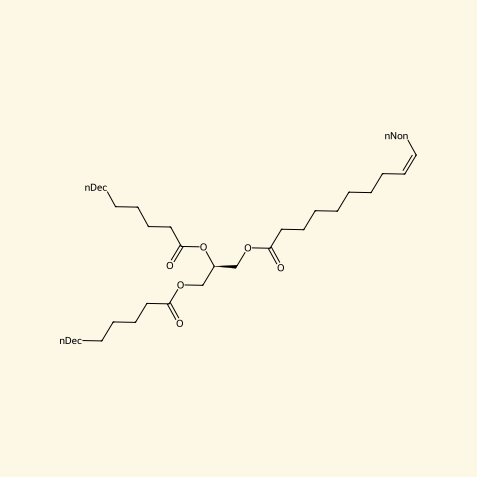 CCCCCCCCC/C=C\CCCCCCCC(=O)OC[C@@H](COC(=O)CCCCCCCCCCCCCC)OC(=O)CCCCCCCCCCCCCC